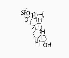 C=C(C)[C@@H]1CC[C@]2(C(=O)O[Si](C)(C)C)CC[C@]3(C)[C@H](CC[C@@H]4[C@@]5(C)CC[C@H](O)C(C)(C)[C@@H]5CC[C@]43C)[C@@H]12